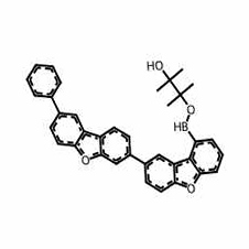 CC(C)(O)C(C)(C)OBc1cccc2oc3ccc(-c4ccc5c(c4)oc4ccc(-c6ccccc6)cc45)cc3c12